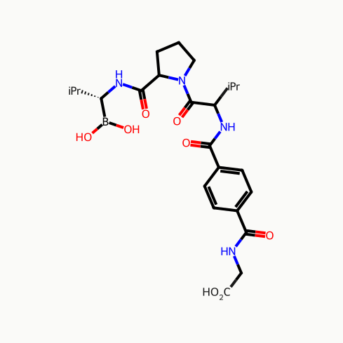 CC(C)C(NC(=O)c1ccc(C(=O)NCC(=O)O)cc1)C(=O)N1CCCC1C(=O)N[C@H](B(O)O)C(C)C